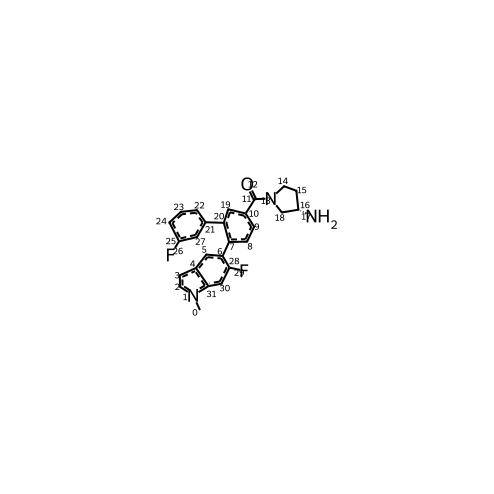 Cn1ccc2cc(-c3ccc(C(=O)N4CC[C@H](N)C4)cc3-c3cccc(F)c3)c(F)cc21